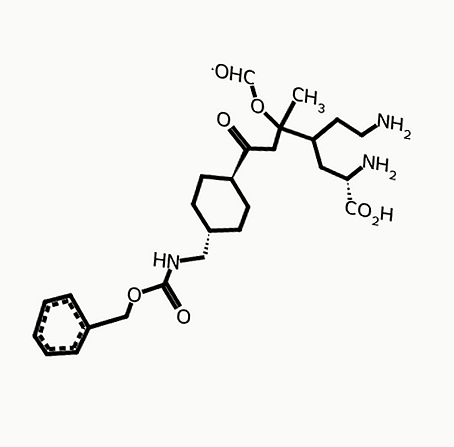 CC(CC(=O)[C@H]1CC[C@H](CNC(=O)OCc2ccccc2)CC1)(O[C]=O)C(CCN)C[C@H](N)C(=O)O